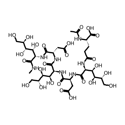 CNC(=O)[C@@H](NC(=O)[C@H](CC(=O)O)NC(=O)[C@@H](NC(=O)[C@H](CC(=O)O)NC(=O)[C@@H](NC(=O)CC[C@H](NC(C)=O)C(=O)O)[C@@H](O)[C@H](O)[C@H](O)CO)[C@@H](O)[C@H](O)[C@H](O)CO)[C@@H](O)[C@H](O)[C@H](O)CO